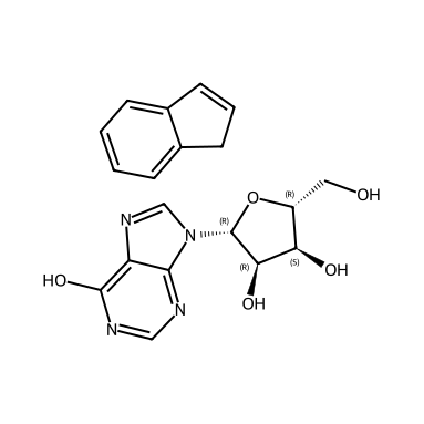 C1=Cc2ccccc2C1.OC[C@H]1O[C@@H](n2cnc3c(O)ncnc32)[C@H](O)[C@@H]1O